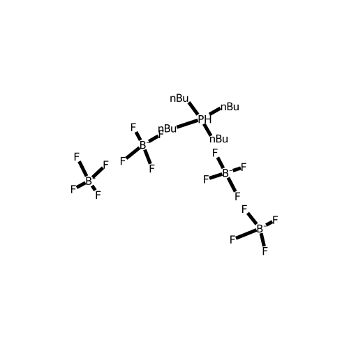 CCCC[PH](CCCC)(CCCC)CCCC.F[B-](F)(F)F.F[B-](F)(F)F.F[B-](F)(F)F.F[B-](F)(F)F